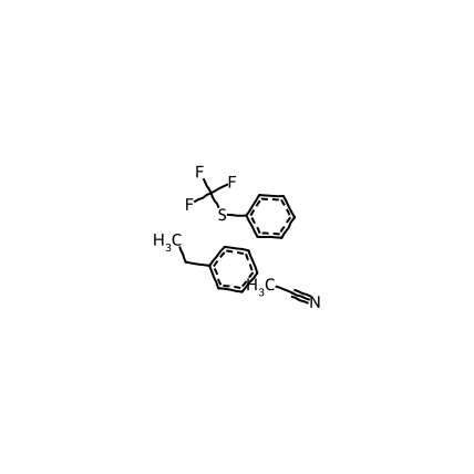 CC#N.CCc1ccccc1.FC(F)(F)Sc1ccccc1